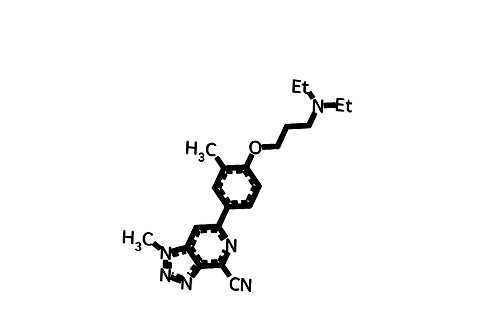 CCN(CC)CCCOc1ccc(-c2cc3c(nnn3C)c(C#N)n2)cc1C